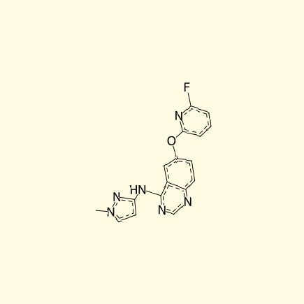 Cn1ccc(Nc2ncnc3ccc(Oc4cccc(F)n4)cc23)n1